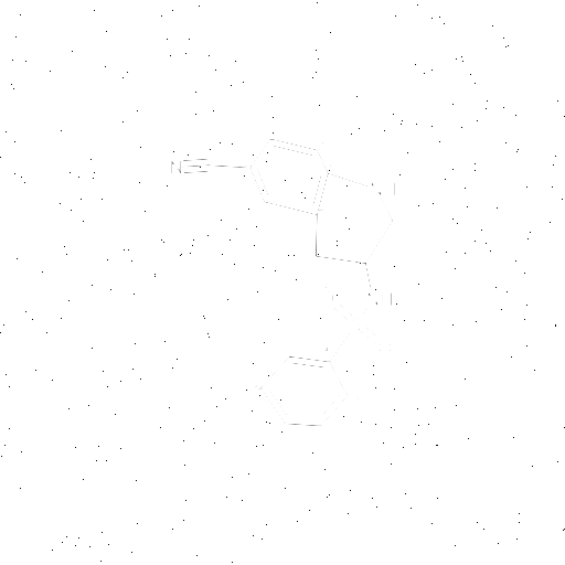 N#Cc1ccc2c(c1)CC(NS(=O)(=O)c1ccccc1)CN2